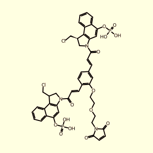 O=C1C=CC(=O)N1CCOCCOc1cc(/C=C/C(=O)N2C[C@@H](CCl)c3c2cc(OP(=O)(O)O)c2ccccc32)ccc1/C=C/C(=O)N1CC(CCl)c2c1cc(OP(=O)(O)O)c1ccccc21